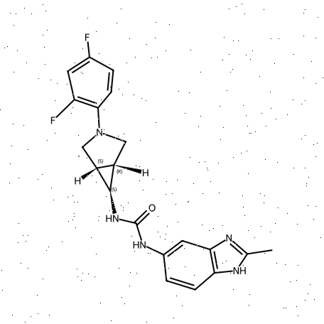 Cc1nc2cc(NC(=O)N[C@H]3[C@@H]4CN(c5ccc(F)cc5F)C[C@@H]43)ccc2[nH]1